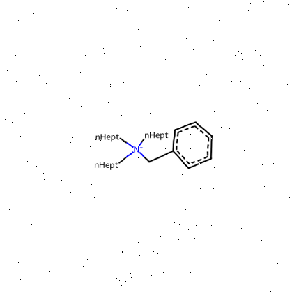 CCCCCCC[N+](CCCCCCC)(CCCCCCC)Cc1ccccc1